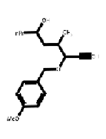 C#CC(OCc1ccc(OC)cc1)C(C)CC(O)CCC